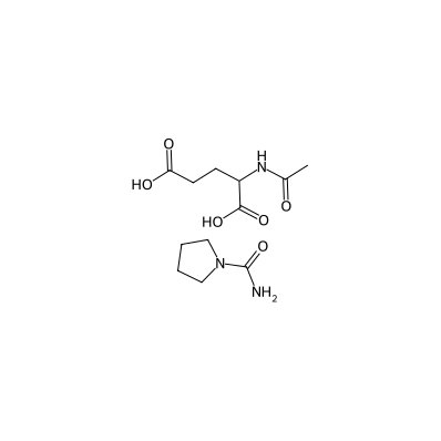 CC(=O)NC(CCC(=O)O)C(=O)O.NC(=O)N1CCCC1